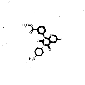 COC(=O)c1cccc(-n2c(=O)n([C@H]3CC[C@@H](N)CC3)c(=O)c3cc(F)cnc32)c1